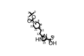 CC(C)(C)OC(=O)N1CCC(CCc2nc(C(O)=S)c[nH]2)CC1